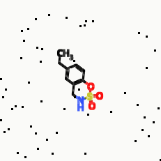 CCc1ccc2c(c1)CNS(=O)(=O)O2